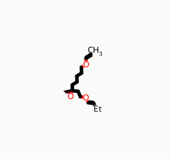 CC=COCCCCCC1(CCOC=CCC)CO1